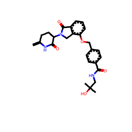 C=C1CCC(N2Cc3c(OCc4ccc(C(=O)NCC(C)(C)O)cc4)cccc3C2=O)C(=O)N1